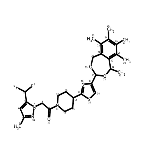 Cc1cc(C(F)F)n(CC(=O)N2CCC(c3nc(C4OCc5c(C)c(C)c(C)c(C)c5C(C)O4)cs3)CC2)n1